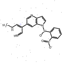 CN/C=C(\C=N)c1cnc2ccn([S+]([O-])c3ccccc3[N+](=O)[O-])c2c1